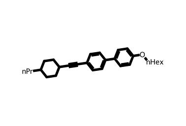 CCCCCCOc1ccc(-c2ccc(C#CC3CCC(CCC)CC3)cc2)cc1